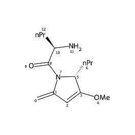 C=C1C=C(OC)[C@@H](CCC)N1C(=O)[C@H](N)CCC